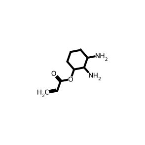 C=CC(=O)OC1CC[CH]C(N)C1N